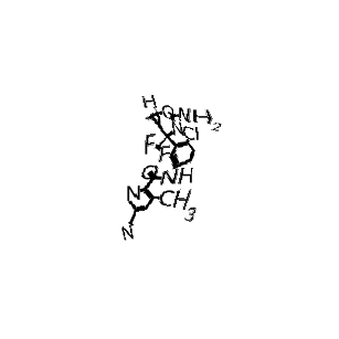 Cc1cc(C#N)cnc1C(=O)Nc1ccc(Cl)c([C@@]2(C(F)F)N=C(N)O[C@@H]3CC32)c1